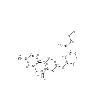 CCOC(=O)[C@@H]1CCCN(CC2=CC[C@H](c3ccc(Cl)cc3Cl)[C@@H](N)C2)C1